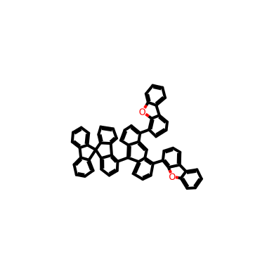 c1ccc2c(c1)-c1ccccc1C21c2ccccc2-c2c(-c3c4cccc(-c5cccc6c5oc5ccccc56)c4cc4c(-c5cccc6c5oc5ccccc56)cccc34)cccc21